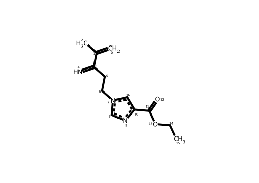 C=C(C)C(=N)CCn1cnc(C(=O)OCC)c1